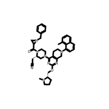 Cc1cccc2cccc(N3CCc4c(nc(OC[C@@H]5CCCN5C)nc4N4CCN(C(=O)C5CN5Cc5ccccc5)[C@@H](CC#N)C4)C3)c12